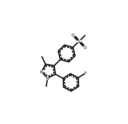 Cc1nn(C)c(-c2cccc(F)c2)c1-c1ccc(S(C)(=O)=O)cc1